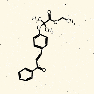 CCOC(=O)C(C)(C)Oc1ccc(C=CC(=O)c2ccccc2)cc1